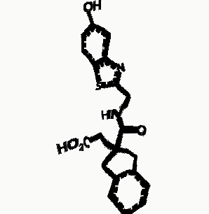 O=C(O)CC1(C(=O)NCc2nc3cc(O)ccc3s2)Cc2ccccc2C1